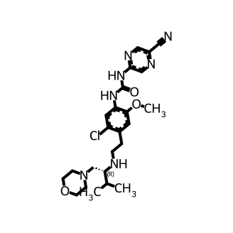 COc1cc(CCN[C@@H](CN2CCOCC2)C(C)C)c(Cl)cc1NC(=O)Nc1cnc(C#N)cn1